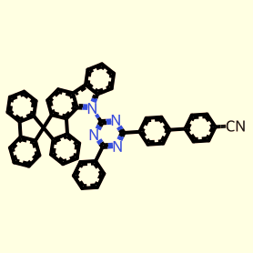 N#Cc1ccc(-c2ccc(-c3nc(-c4ccccc4)nc(-n4c5ccccc5c5ccc6c(c54)-c4ccccc4C64c5ccccc5-c5ccccc54)n3)cc2)cc1